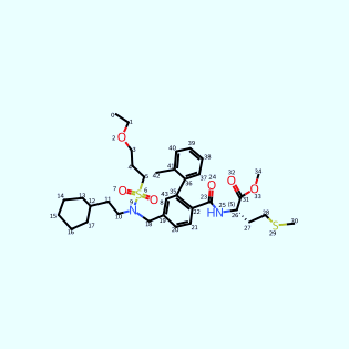 CCOCCCS(=O)(=O)N(CCC1CCCCC1)Cc1ccc(C(=O)N[C@@H](CCSC)C(=O)OC)c(-c2ccccc2C)c1